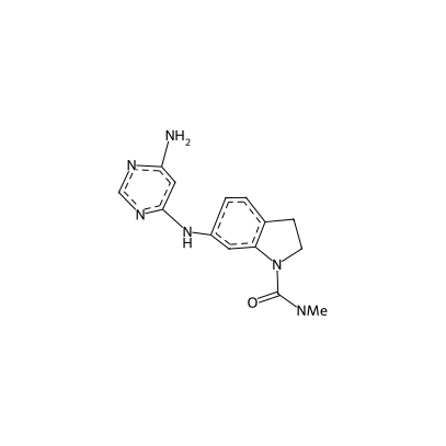 CNC(=O)N1CCc2ccc(Nc3cc(N)ncn3)cc21